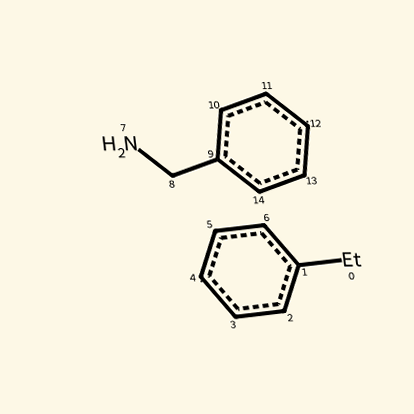 CCc1cc[c]cc1.NCc1cc[c]cc1